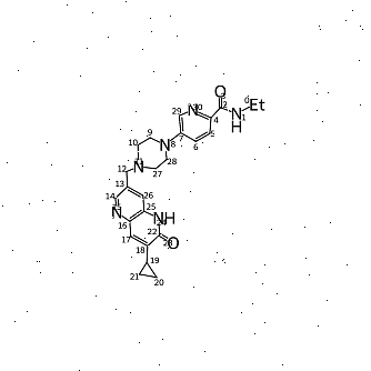 CCNC(=O)c1ccc(N2CCN(Cc3cnc4cc(C5CC5)c(=O)[nH]c4c3)CC2)cn1